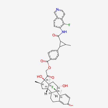 CC1C(C(=O)Nc2ccc3cnccc3c2F)C1c1ccc(C(=O)OCC(=O)[C@@]2(O)[C@H](C)C[C@H]3[C@@H]4CCC5=CC(=O)C=C[C@]5(C)[C@@]4(F)[C@@H](O)C[C@@]32C)cc1